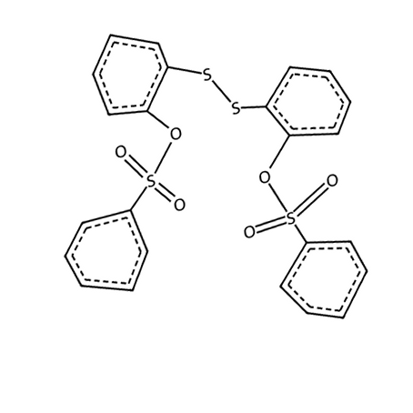 O=S(=O)(Oc1ccccc1SSc1ccccc1OS(=O)(=O)c1ccccc1)c1ccccc1